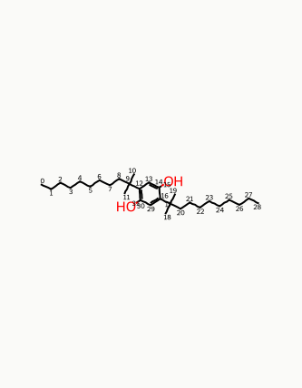 CCCCCCCCCC(C)(C)c1cc(O)c(C(C)(C)CCCCCCCCC)cc1O